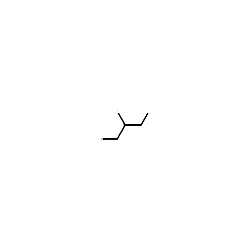 ICC(I)CI